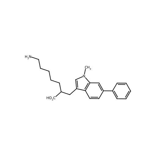 Cn1cc(CC(CCCCCN)C(=O)O)c2ccc(-c3ccccc3)cc21